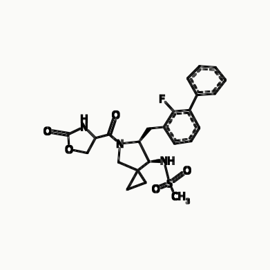 CS(=O)(=O)N[C@@H]1[C@H](Cc2cccc(-c3ccccc3)c2F)N(C(=O)C2COC(=O)N2)CC12CC2